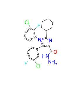 NNC(=O)c1nc(C2CCCCC2)n(-c2cccc(Cl)c2F)c1-c1ccc(F)c(Cl)c1